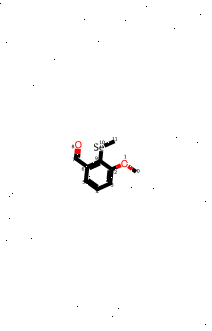 COc1cccc(C=O)c1[Se]C